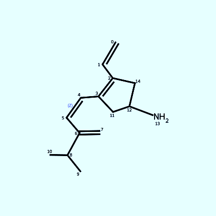 C=CC1=C(/C=C\C(=C)C(C)C)CC(N)C1